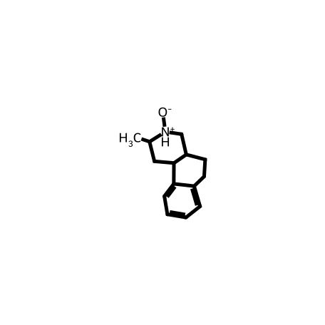 CC1CC2c3ccccc3CCC2C[NH+]1[O-]